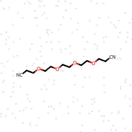 N#CCCOCCOCCOCCOCCC#N